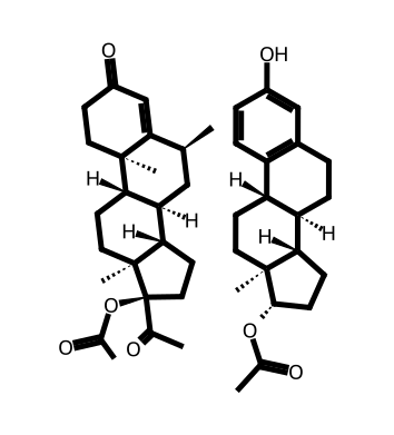 CC(=O)O[C@H]1CC[C@H]2[C@@H]3CCc4cc(O)ccc4[C@H]3CC[C@]12C.CC(=O)O[C@]1(C(C)=O)CC[C@H]2[C@@H]3C[C@H](C)C4=CC(=O)CC[C@]4(C)[C@H]3CC[C@@]21C